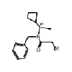 C[C@H](C1CCC1)N(Cc1ccccc1)C(=O)CBr